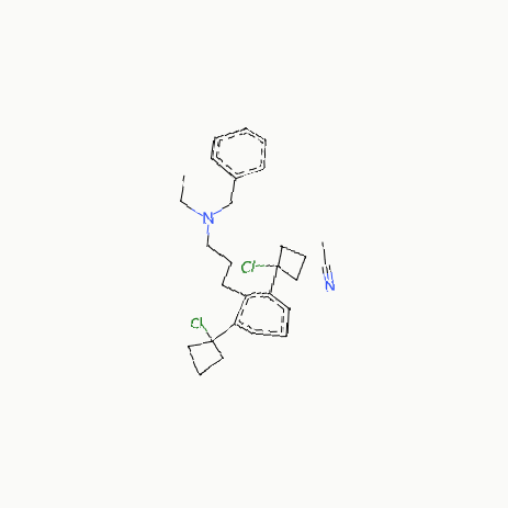 CC#N.CCN(CCCc1c(C2(Cl)CCC2)cccc1C1(Cl)CCC1)Cc1ccccc1